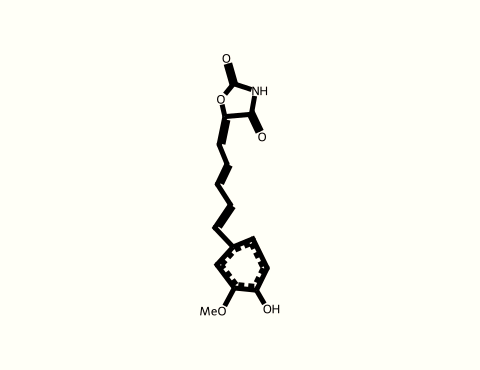 COc1cc(C=CC=CC=C2OC(=O)NC2=O)ccc1O